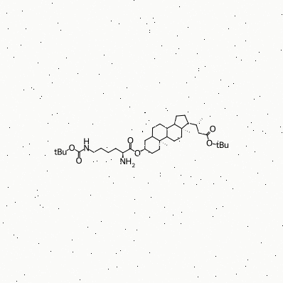 C[C@H](CC(=O)OC(C)(C)C)C1CCC2C3CCC4C[C@H](OC(=O)[C@@H](N)CCCCNC(=O)OC(C)(C)C)CC[C@]4(C)C3CC[C@@]21C